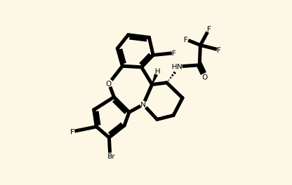 O=C(N[C@@H]1CCCN2c3cc(Br)c(F)cc3Oc3cccc(F)c3[C@H]12)C(F)(F)F